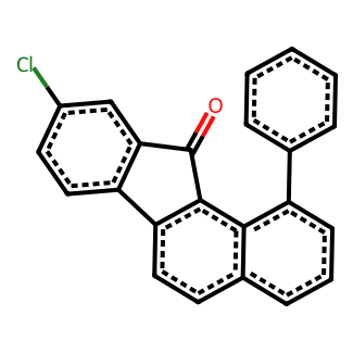 O=C1c2cc(Cl)ccc2-c2ccc3cccc(-c4ccccc4)c3c21